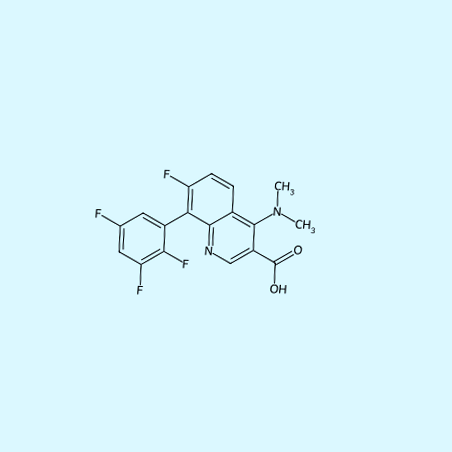 CN(C)c1c(C(=O)O)cnc2c(-c3cc(F)cc(F)c3F)c(F)ccc12